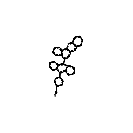 N#Cc1ccc(-c2c3ccccc3c(-c3cc4cc5ccccc5nc4c4ccccc34)c3ccccc23)cc1